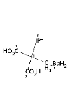 CC(C)C(C)(C(=O)O)C(=O)O.[BaH2]